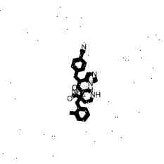 Cc1ccccc1CC1(C(N)=O)CCNCC1C(=O)C(Cc1ccc(C#N)cc1)c1cnc[nH]1